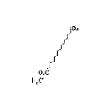 C=CC(=O)OCCCCCCCCCCCCCCC(C)(C)C